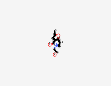 Cc1cc2c(=O)n(CC=O)ccc2o1